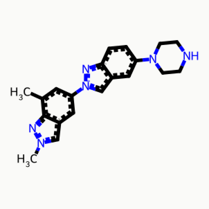 Cc1cc(-n2cc3cc(N4CCNCC4)ccc3n2)cc2cn(C)nc12